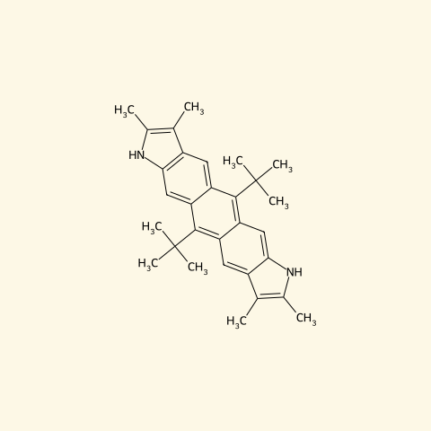 Cc1[nH]c2cc3c(C(C)(C)C)c4cc5c(C)c(C)[nH]c5cc4c(C(C)(C)C)c3cc2c1C